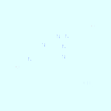 Cc1ccc(Cc2nn3c(CC4CCOCC4)nnc3c3ncc(N4CCOCC4)cc23)cc1